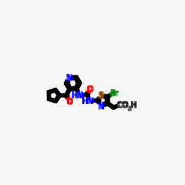 O=C(O)Cc1nc(NC(=O)Nc2ccncc2C(=O)C2CCCC2)sc1Br